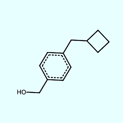 OCc1ccc(CC2CCC2)cc1